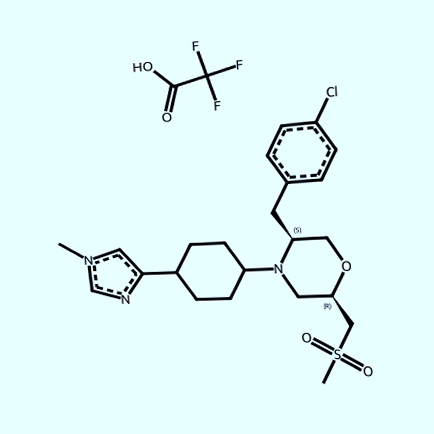 Cn1cnc(C2CCC(N3C[C@H](CS(C)(=O)=O)OC[C@@H]3Cc3ccc(Cl)cc3)CC2)c1.O=C(O)C(F)(F)F